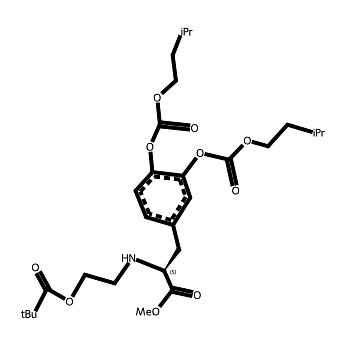 COC(=O)[C@H](Cc1ccc(OC(=O)OCCC(C)C)c(OC(=O)OCCC(C)C)c1)NCCOC(=O)C(C)(C)C